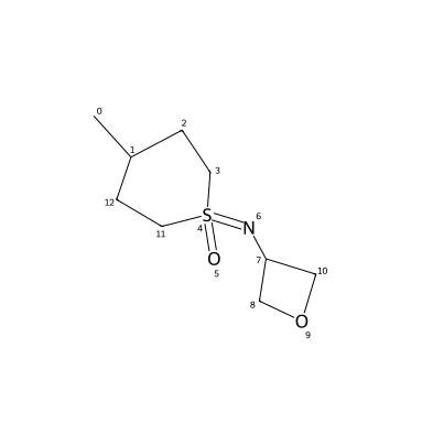 CC1CCS(=O)(=NC2COC2)CC1